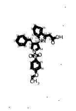 CCOc1ccc(S(=O)(=O)N2C[C@@H](Cc3ccccc3)[C@@H](n3nc(CC(=O)O)c4ccccc43)C2)cc1